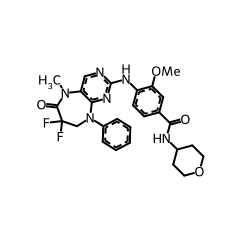 COc1cc(C(=O)NC2CCOCC2)ccc1Nc1ncc2c(n1)N(c1ccccc1)CC(F)(F)C(=O)N2C